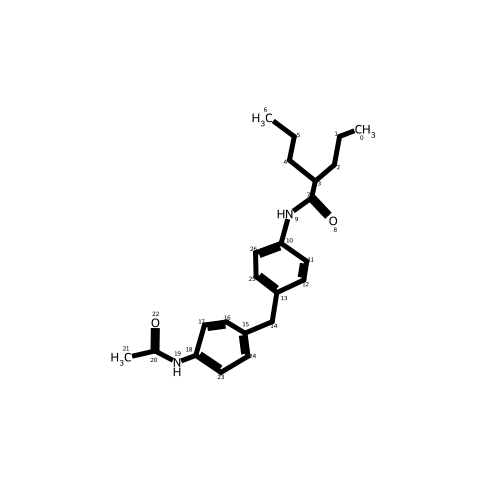 CCCC(CCC)C(=O)Nc1ccc(Cc2ccc(NC(C)=O)cc2)cc1